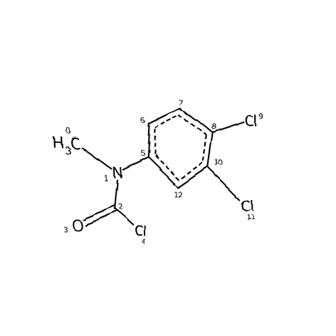 CN(C(=O)Cl)c1ccc(Cl)c(Cl)c1